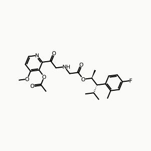 COc1ccnc(C(=O)CNCC(=O)O[C@@H](C)[C@H](c2ccc(F)cc2C)C(C)C)c1OC(C)=O